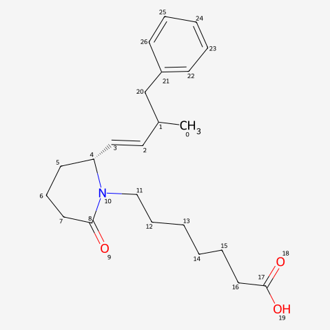 CC(/C=C/[C@H]1CCCC(=O)N1CCCCCCC(=O)O)Cc1ccccc1